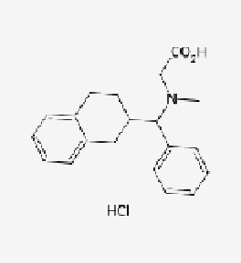 CN(CC(=O)O)C(c1ccccc1)C1CCc2ccccc2C1.Cl